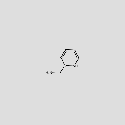 NCN1C=CC=CN1